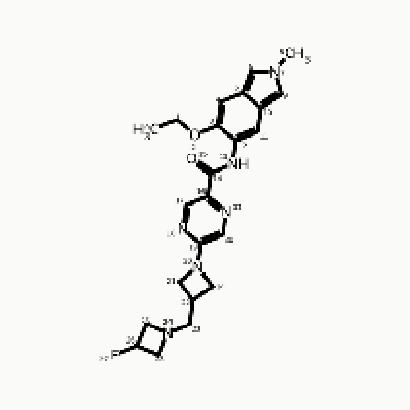 CCOc1cc2cn(C)cc2cc1NC(=O)c1cnc(N2CC(CN3CC(F)C3)C2)cn1